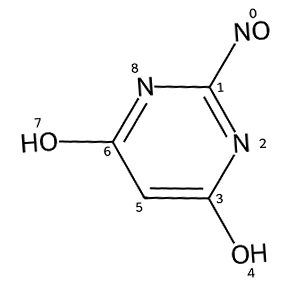 O=Nc1nc(O)cc(O)n1